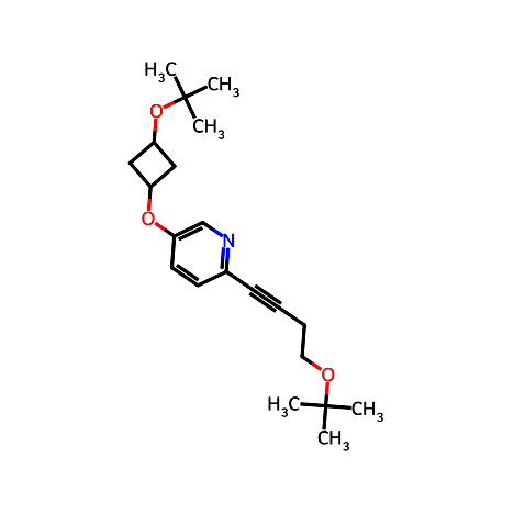 CC(C)(C)OCCC#Cc1ccc(OC2CC(OC(C)(C)C)C2)cn1